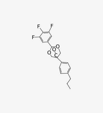 CCCc1ccc(C23COC(c4cc(F)c(F)c(F)c4)(OC2)OC3)cc1